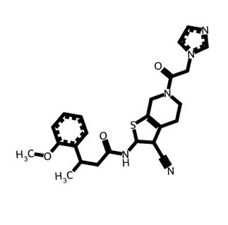 COc1ccccc1C(C)CC(=O)NC1SC2=C(CCN(C(=O)Cn3ccnc3)C2)C1C#N